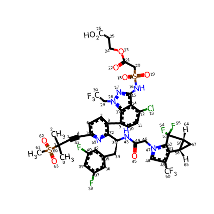 CC(C)(C#Cc1ccc(-c2ccc(Cl)c3c(NS(=O)(=O)CC(=O)OCCC(=O)O)nn(CC(F)(F)F)c23)c([C@H](Cc2cc(F)cc(F)c2)NC(=O)Cn2cc(C(F)(F)F)c3c2C(F)(F)[C@@H]2C[C@H]32)n1)S(C)(=O)=O